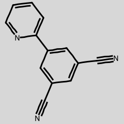 N#Cc1cc(C#N)cc(-c2ccccn2)c1